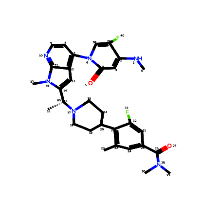 CNc1cc(=O)n(-c2ccnc3c2cc([C@@H](C)N2CCC(c4c(C)cc(C(=O)N(C)C)cc4F)CC2)n3C)cc1F